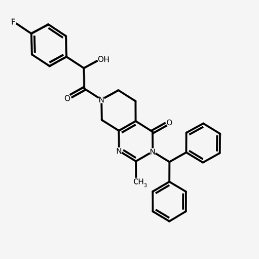 Cc1nc2c(c(=O)n1C(c1ccccc1)c1ccccc1)CCN(C(=O)C(O)c1ccc(F)cc1)C2